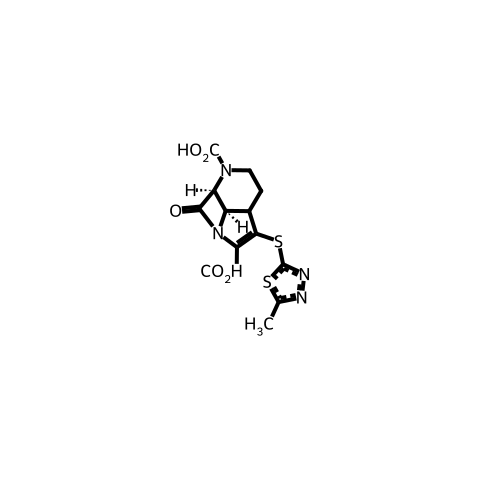 Cc1nnc(SC2=C(C(=O)O)N3C(=O)[C@@H]4[C@H]3C2CCN4C(=O)O)s1